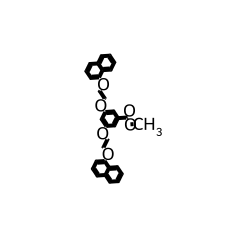 COC(=O)c1cc(OCCOc2cccc3ccccc23)cc(OCCOc2cccc3ccccc23)c1